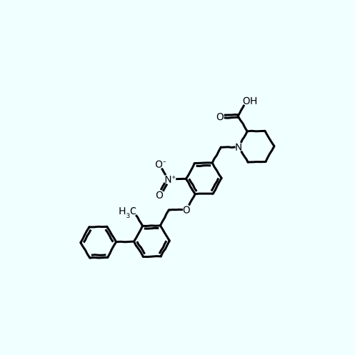 Cc1c(COc2ccc(CN3CCCCC3C(=O)O)cc2[N+](=O)[O-])cccc1-c1ccccc1